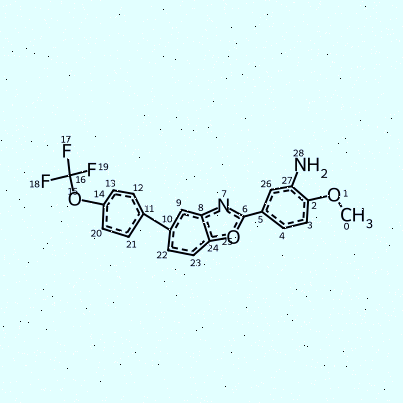 COc1ccc(-c2nc3cc(-c4ccc(OC(F)(F)F)cc4)ccc3o2)cc1N